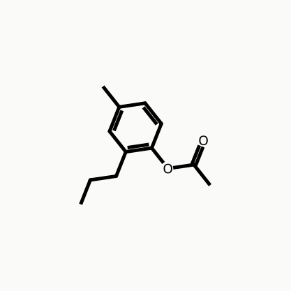 CCCc1cc(C)ccc1OC(C)=O